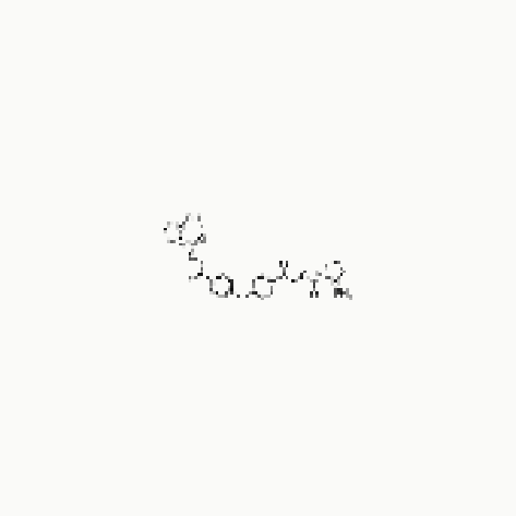 O=C(COC(=O)[C@@H]1CCCN1P)c1ccc(Cc2ccc(C(=O)COC(=O)[C@@H]3CCCN3P)cc2)cc1